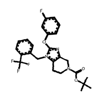 CC(C)(C)OC(=O)N1CCc2c(nc(Oc3cccc(F)c3)n2Cc2ccccc2C(F)(F)F)C1